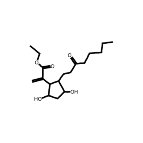 C=C(C(=O)OCC)C1C(O)CC(O)C1CCC(=O)CCCCC